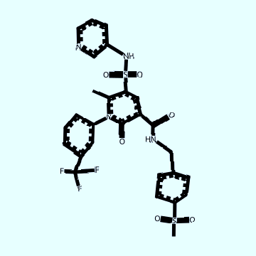 Cc1c(S(=O)(=O)Nc2cccnc2)cc(C(=O)NCc2ccc(S(C)(=O)=O)cc2)c(=O)n1-c1cccc(C(F)(F)F)c1